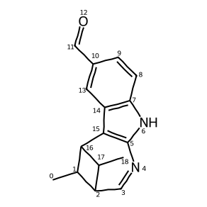 CC1C2C=Nc3[nH]c4ccc(C=O)cc4c3C1C2C